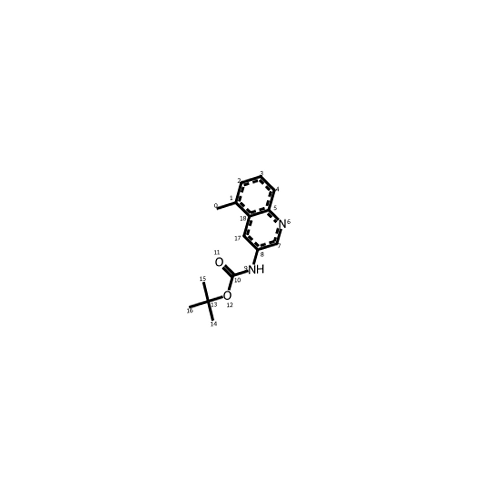 Cc1cccc2ncc(NC(=O)OC(C)(C)C)cc12